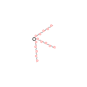 COCCOCCOCCOCCOc1c[c]cc(OCCOCCOCCOCCOC)c1OCCOCCOCCOCCOC